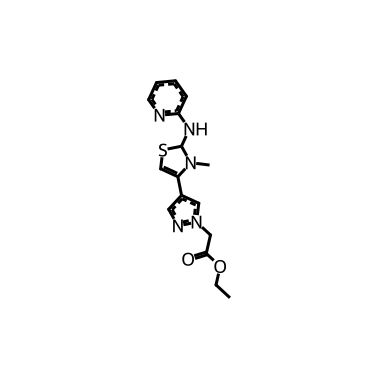 CCOC(=O)Cn1cc(C2=CSC(Nc3ccccn3)N2C)cn1